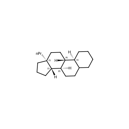 CCC[C@@]12CCC[C@H]1[C@@H]1CCC3CCCC[C@@H]3[C@H]1CC2